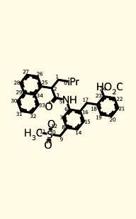 CC(C)CC(C(=O)Nc1cc(CS(C)(=O)=O)ccc1Cc1ccccc1C(=O)O)c1cccc2ccccc12